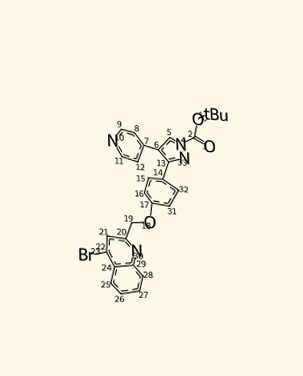 CC(C)(C)OC(=O)n1cc(-c2ccncc2)c(-c2ccc(OCc3cc(Br)c4ccccc4n3)cc2)n1